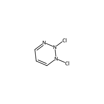 ClN1C=CC=NN1Cl